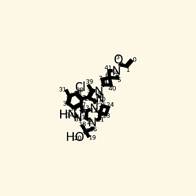 C=CC(=O)N1CC2(CC(n3nc(N4CCN(CC(C)(C)O)CC45CCC5)c(-c4c(Cl)c(C)cc5[nH]ncc45)c3C)C2)C1